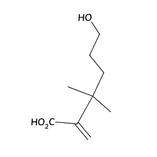 C=C(C(=O)O)C(C)(C)CCCO